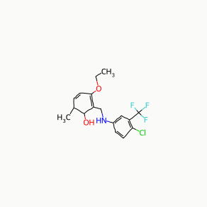 CCOC1=C(CNc2ccc(Cl)c(C(F)(F)F)c2)C(O)C(C)C=C1